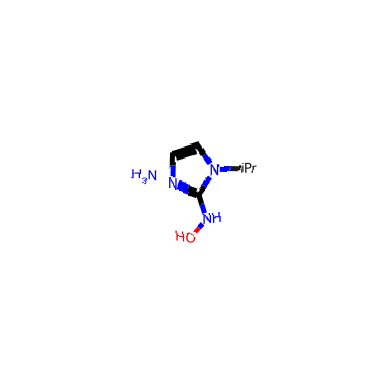 CC(C)n1ccnc1NO.N